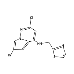 Clc1cc(NCc2nccs2)c2cc(Br)cn2n1